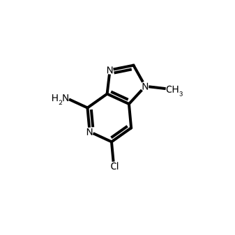 Cn1cnc2c(N)nc(Cl)cc21